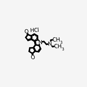 CCN(CC)CCN1c2ccc3c(c2=C2C4=C(C=CC21)C(=O)CC4)=CCC3=O.Cl